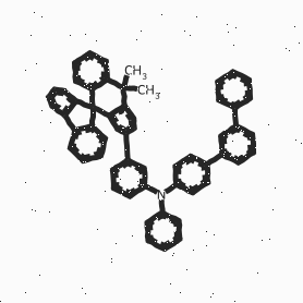 CC1(C)c2ccccc2C2(c3ccccc3-c3ccccc32)c2cc(-c3cccc(N(c4ccccc4)c4ccc(-c5cccc(-c6ccccc6)c5)cc4)c3)ccc21